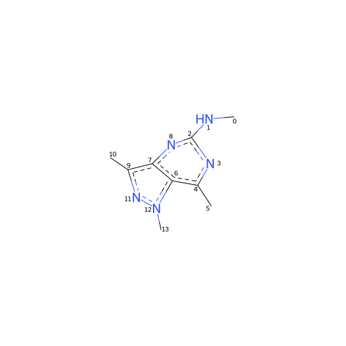 CNc1nc(C)c2c(n1)c(C)nn2C